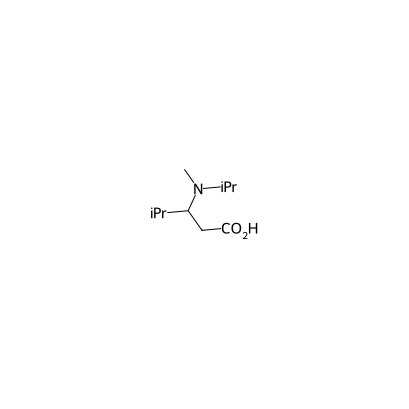 CC(C)C(CC(=O)O)N(C)C(C)C